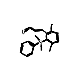 Cc1ccc(C)c([Si](C)(C)c2ccccc2)c1/C=C/C=O